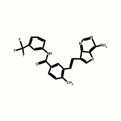 Cc1ccc(C(=O)Nc2cccc(C(F)(F)F)c2)cc1C=Cc1csc2c(N)ncnc12